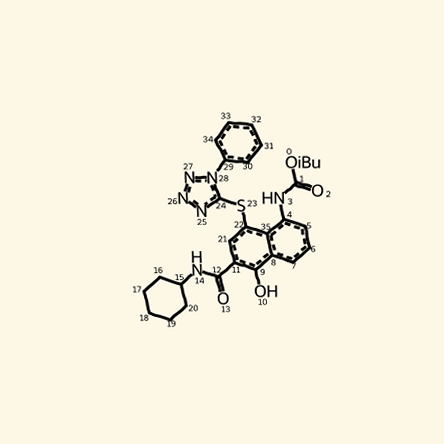 CC(C)COC(=O)Nc1cccc2c(O)c(C(=O)NC3CCCCC3)cc(Sc3nnnn3-c3ccccc3)c12